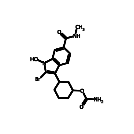 CNC(=O)c1ccc2c(C3CCCC(OC(N)=O)C3)c(Br)n(O)c2c1